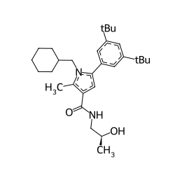 Cc1c(C(=O)NC[C@H](C)O)cc(-c2cc(C(C)(C)C)cc(C(C)(C)C)c2)n1CC1CCCCC1